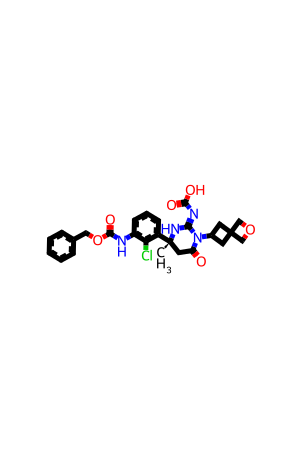 C[C@@]1(c2cccc(NC(=O)OCc3ccccc3)c2Cl)CC(=O)N(C2CC3(COC3)C2)/C(=N/C(=O)O)N1